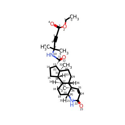 CCOC(=O)C#CC(C)(C)NC(=O)[C@H]1CC[C@H]2[C@@H]3CC[C@H]4NC(=O)C=C[C@]4(C)[C@H]3CC[C@]12C